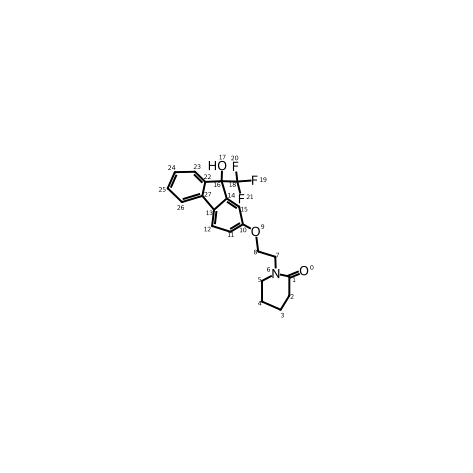 O=C1CCCCN1CCOc1ccc2c(c1)C(O)(C(F)(F)F)c1ccccc1-2